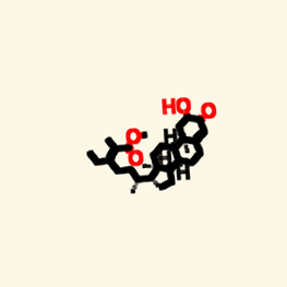 CCC(CC[C@@H](C)[C@H]1CC[C@H]2[C@@H]3CCC4=CC(=O)C(O)C[C@]4(C)[C@H]3CC[C@]12C)=C(C)C(=O)OC